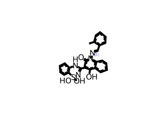 Cc1ccccc1/C=N/n1c(=O)c(C2=NS(O)(O)c3ccccc3N2)c(O)c2ccccc21